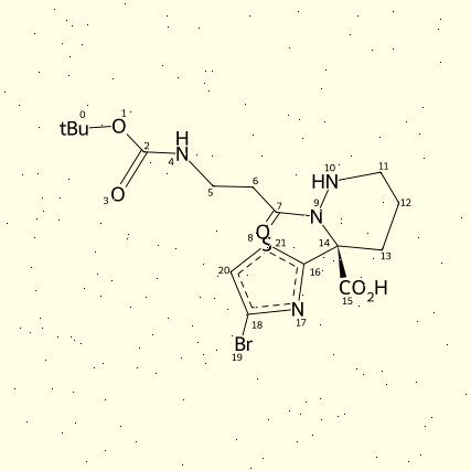 CC(C)(C)OC(=O)NCCC(=O)N1NCCC[C@]1(C(=O)O)c1nc(Br)cs1